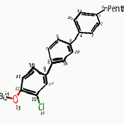 CCCCCc1ccc(-c2ccc(-c3ccc(OCCCC)c(Cl)c3)cc2)cc1